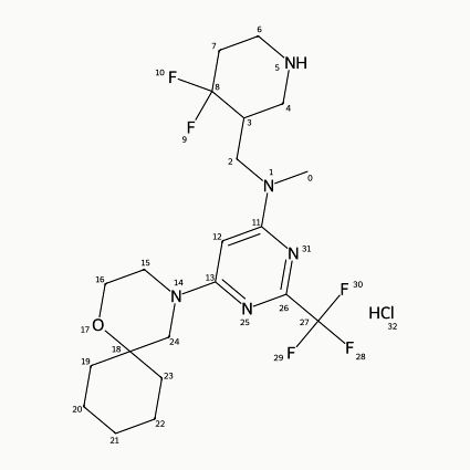 CN(CC1CNCCC1(F)F)c1cc(N2CCOC3(CCCCC3)C2)nc(C(F)(F)F)n1.Cl